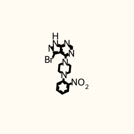 O=[N+]([O-])c1ccccc1N1CCN(c2ncnc3[nH]nc(Br)c23)CC1